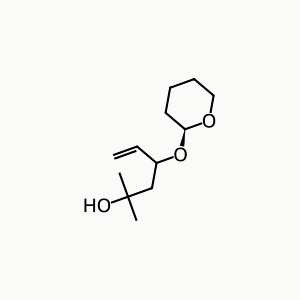 C=CC(CC(C)(C)O)O[C@H]1CCCCO1